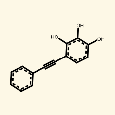 Oc1ccc(C#Cc2ccccc2)c(O)c1O